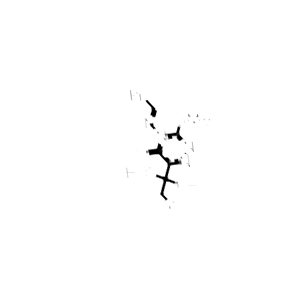 CSc1nnc(C(C)(C)CCl)c(=O)n1N=CC(C)C